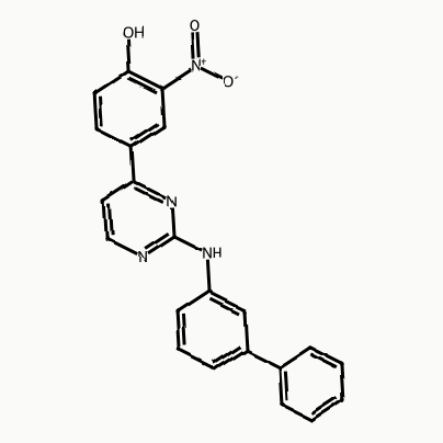 O=[N+]([O-])c1cc(-c2ccnc(Nc3cccc(-c4ccccc4)c3)n2)ccc1O